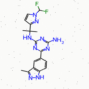 Cc1n[nH]c2ccc(-c3nc(N)nc(NC(C)(C)c4ccn(C(F)F)n4)n3)cc12